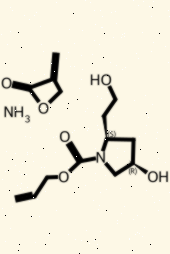 C=C1COC1=O.C=CCOC(=O)N1C[C@H](O)C[C@@H]1CCO.N